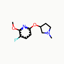 COc1nc(OC2CCN(C)C2)ccc1F